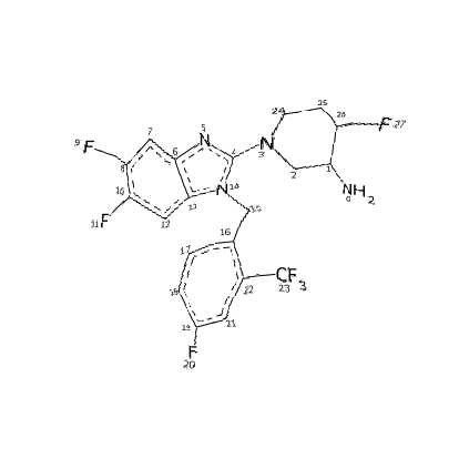 NC1CN(c2nc3cc(F)c(F)cc3n2Cc2ccc(F)cc2C(F)(F)F)CCC1F